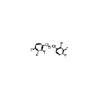 Fc1ccc([O][Zr][O]c2ccc(F)c(F)c2F)c(F)c1F